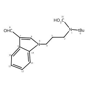 CC(C)(C)N(CCCn1cc(C=O)c2ccccc21)C(=O)O